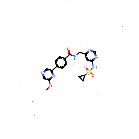 CCOc1cncc(-c2ccc(C(=O)NCc3cc(NS(=O)(=O)C4CC4)ncn3)cc2)n1